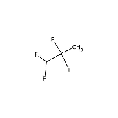 CC(F)(I)C(F)F